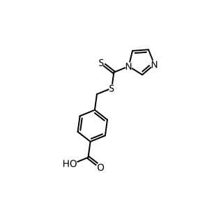 O=C(O)c1ccc(CSC(=S)n2ccnc2)cc1